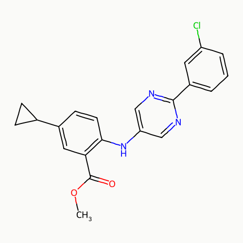 COC(=O)c1cc(C2CC2)ccc1Nc1cnc(-c2cccc(Cl)c2)nc1